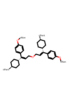 CCCCCCCCCOc1ccc(C(=CCOCC=C(c2ccc(OCCCCCCCCC)cc2)[C@H]2CC[C@H](CCCCC)CC2)[C@H]2CC[C@H](CCCCC)CC2)cc1